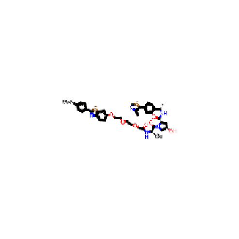 CNc1ccc(-c2nc3ccc(OCCOCCOCC(=O)N[C@H](C(=O)N4C[C@H](O)C[C@H]4C(=O)N[C@@H](C)c4ccc(-c5scnc5C)cc4)C(C)(C)C)cc3s2)cc1